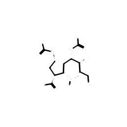 CN[C@H]1[C@@H]([C@H](NC(C)=O)[C@@H](O)[C@@H](O)CO)[C@H](NC(=N)N)C[C@@H]1C(=O)O